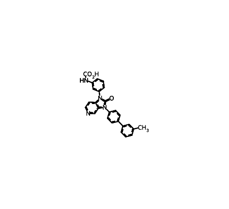 Cc1cccc(-c2ccc(-n3c(=O)n(-c4cccc(NC(=O)O)c4)c4ccncc43)cc2)c1